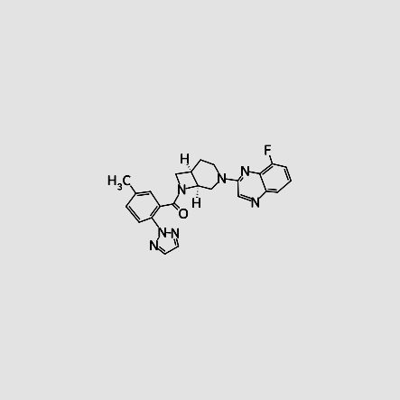 Cc1ccc(-n2nccn2)c(C(=O)N2C[C@H]3CCN(c4cnc5cccc(F)c5n4)C[C@H]32)c1